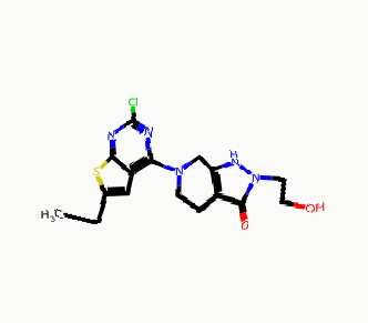 CCc1cc2c(N3CCc4c([nH]n(CCO)c4=O)C3)nc(Cl)nc2s1